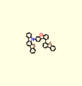 c1cc(-c2cccc3c2sc2ccccc23)c2c(c1)oc1cc(-n3c4ccccc4c4ccc5c6ccccc6sc5c43)ccc12